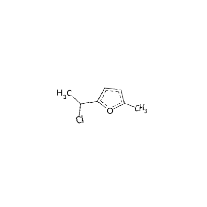 Cc1ccc(C(C)Cl)o1